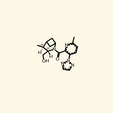 Cc1ccc(-n2nccn2)c(C(=O)N2C3CC(C3)[C@H](C)[C@H]2CO)n1